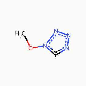 COn1[c]nnn1